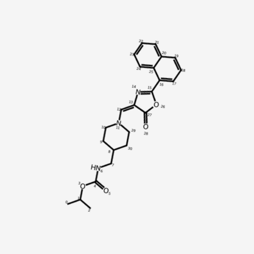 CC(C)OC(=O)NCC1CCN(/C=C2/N=C(c3cccc4ccccc34)OC2=O)CC1